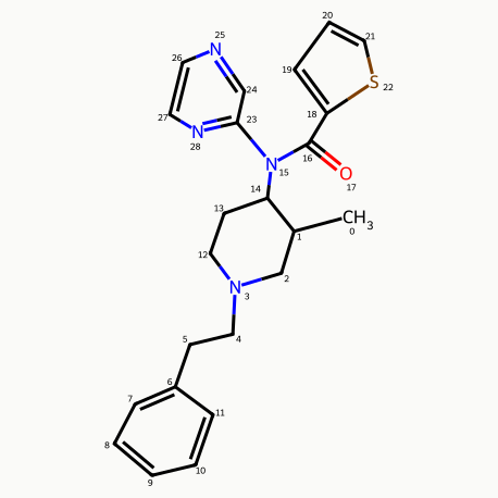 CC1CN(CCc2ccccc2)CCC1N(C(=O)c1cccs1)c1cnccn1